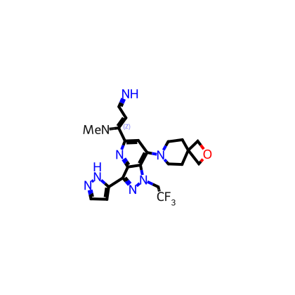 CN/C(=C\C=N)c1cc(N2CCC3(CC2)COC3)c2c(n1)c(-c1ccn[nH]1)nn2CC(F)(F)F